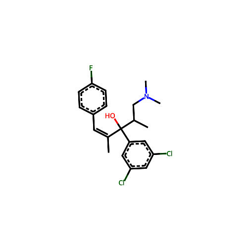 CC(=Cc1ccc(F)cc1)C(O)(c1cc(Cl)cc(Cl)c1)C(C)CN(C)C